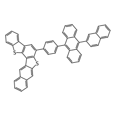 c1ccc2cc(-c3c4ccccc4c(-c4ccc(-c5cc6c7ccccc7sc6c6c5sc5cc7ccccc7cc56)cc4)c4ccccc34)ccc2c1